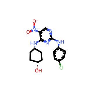 O=[N+]([O-])c1cnc(Nc2ccc(Cl)cc2)nc1N[C@H]1CC[C@@H](O)CC1